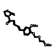 COCCOCOc1ccc(C=CC=CC(=O)N2CCSC2=S)cc1OC